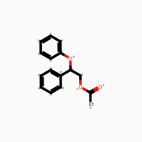 CCC(=O)OCC(Oc1ccccc1)c1ccccc1